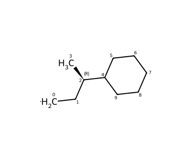 [CH2]C[C@@H](C)C1CCCCC1